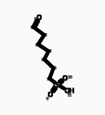 O=[C]CCCCCCS(=O)(=O)O